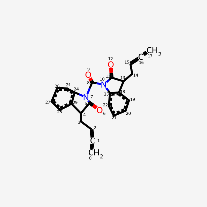 C=C=CCC1C(=O)N(C(=O)N2C(=O)C(CC=C=C)c3ccccc32)c2ccccc21